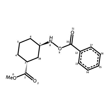 COC(=O)[C@@H]1CCC[C@@H](NOC(=O)c2ccccc2)C1